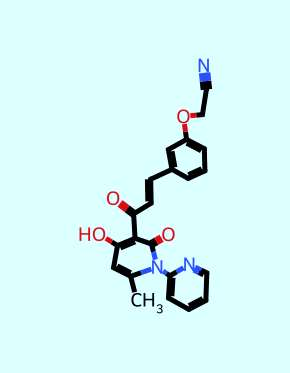 Cc1cc(O)c(C(=O)C=Cc2cccc(OCC#N)c2)c(=O)n1-c1ccccn1